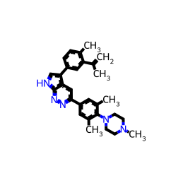 C=C(C)c1cc(-c2c[nH]c3nnc(-c4cc(C)c(N5CCN(C)CC5)c(C)c4)cc23)ccc1C